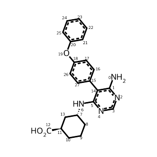 Nc1ncnc(N[C@@H]2CCC[C@@H](C(=O)O)C2)c1-c1ccc(Oc2ccccc2)cc1